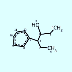 CCC(O)C(CC)c1ccccc1